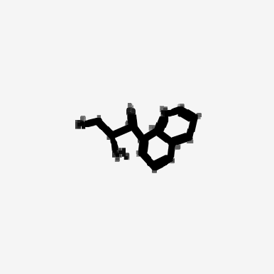 CC(C)C[C@H](N)C(=O)c1cccc2cccnc12